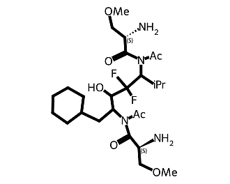 COC[C@H](N)C(=O)N(C(C)=O)C(CC1CCCCC1)C(O)C(F)(F)C(C(C)C)N(C(C)=O)C(=O)[C@@H](N)COC